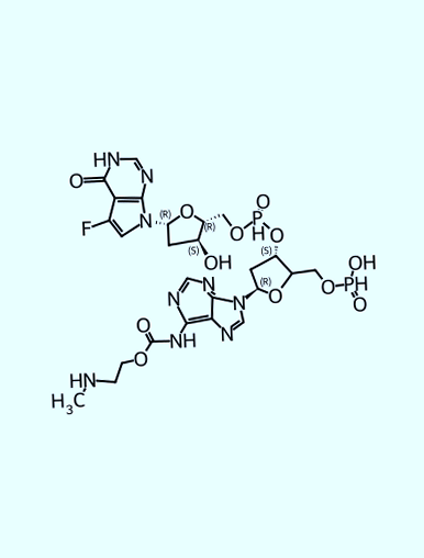 CNCCOC(=O)Nc1ncnc2c1ncn2[C@H]1C[C@H](O[PH](=O)OC[C@H]2O[C@@H](n3cc(F)c4c(=O)[nH]cnc43)C[C@@H]2O)C(CO[PH](=O)O)O1